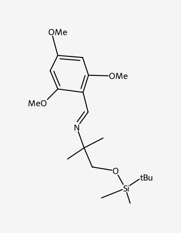 COc1cc(OC)c(C=NC(C)(C)CO[Si](C)(C)C(C)(C)C)c(OC)c1